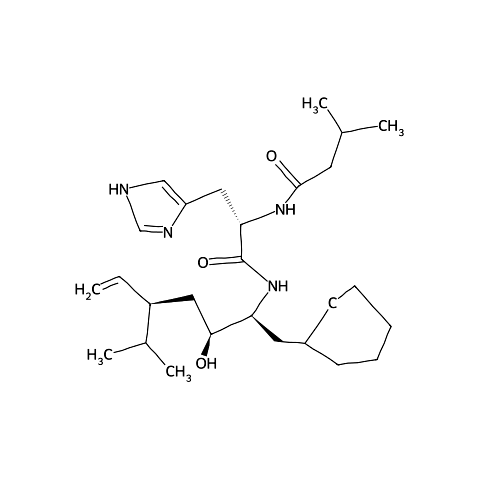 C=C[C@@H](C[C@H](O)[C@H](CC1CCCCC1)NC(=O)[C@H](Cc1c[nH]cn1)NC(=O)CC(C)C)C(C)C